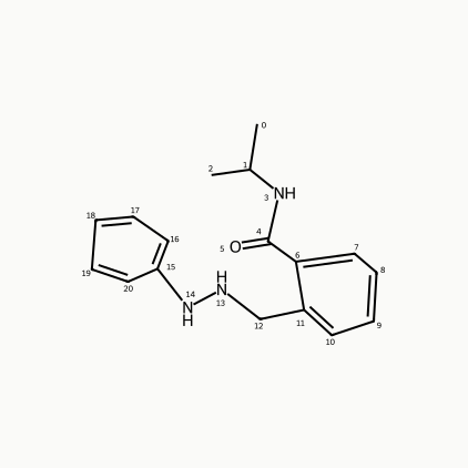 CC(C)NC(=O)c1ccccc1CNNc1ccccc1